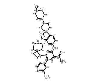 CCc1cc(Nc2nc(N3CCC34CCOCC4)c(-c3ccnc(C)c3)nc2C(N)=O)ccc1N1CCC(N2CCN(C)CC2)CC1